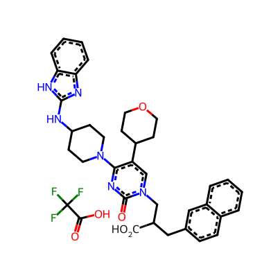 O=C(O)C(Cc1ccc2ccccc2c1)Cn1cc(C2CCOCC2)c(N2CCC(Nc3nc4ccccc4[nH]3)CC2)nc1=O.O=C(O)C(F)(F)F